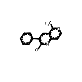 Cc1nccc2nc(Cl)c(-c3ccccc3)cc12